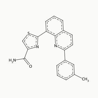 Cc1cccc(-c2ccc3cccc(-c4nc(C(N)=O)cs4)c3n2)c1